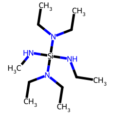 CCN[Si](NC)(N(CC)CC)N(CC)CC